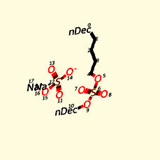 CCCCCCCCCCCCCCOS(=O)(=O)OCCCCCCCCCC.O=S(=O)([O-])[O-].[Na+].[Na+]